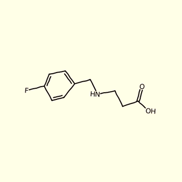 O=C(O)CCNCc1ccc(F)cc1